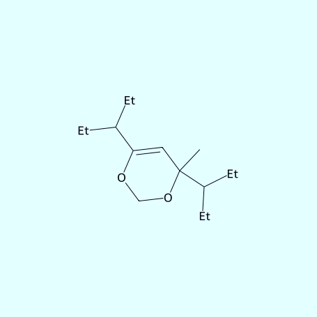 CCC(CC)C1=CC(C)(C(CC)CC)OCO1